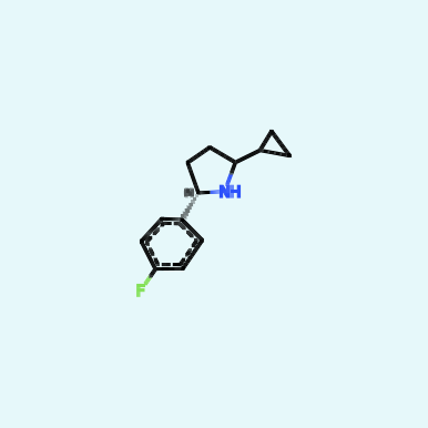 Fc1ccc([C@@H]2CCC(C3CC3)N2)cc1